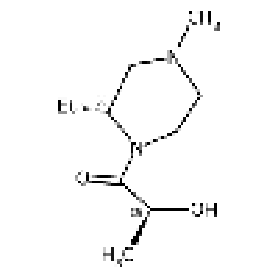 CC[C@@H]1CN(C)CCN1C(=O)[C@H](C)O